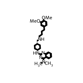 COc1ccc(CCCCNC[C@H]2CC[C@@H](Nc3nc(N(C)C)c4ccccc4n3)CC2)cc1OC